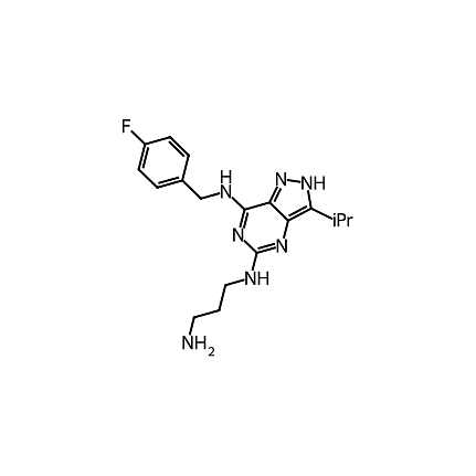 CC(C)c1[nH]nc2c(NCc3ccc(F)cc3)nc(NCCCN)nc12